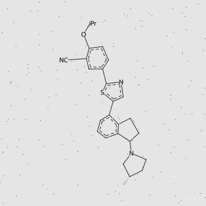 CC(C)Oc1ccc(-c2ncc(-c3cccc4c3CCC4N3CC[C@H](C)C3)s2)cc1C#N